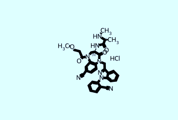 CN[C@@H](C)C(=O)N[C@H]1CN(C(=O)CCOC)c2cc(C#N)ccc2N(Cc2nn(-c3ccccc3C#N)c3ccccc23)C1=O.Cl